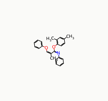 CC(=COc1ccccc1)C(=Nc1ccccc1)Oc1ccc(C)cc1C